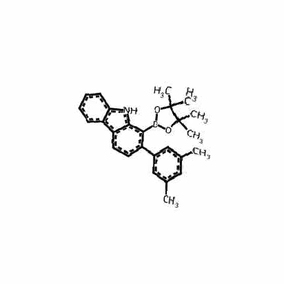 Cc1cc(C)cc(-c2ccc3c([nH]c4ccccc43)c2B2OC(C)(C)C(C)(C)O2)c1